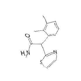 Cc1cccc(C(C(N)=O)c2nccs2)c1C